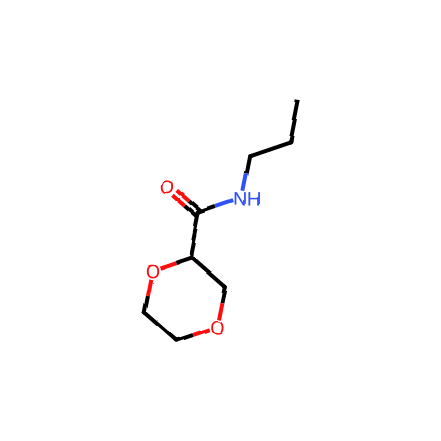 CCCNC(=O)C1COCCO1